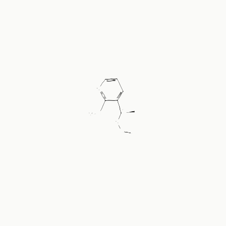 COc1ncccc1[C@@H](C)N[S@+]([O-])C(C)(C)C